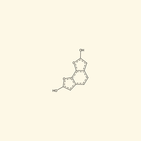 Oc1cc2ccc3cc(O)oc3c2o1